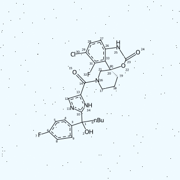 CCCCC(O)(c1ccc(F)cc1)c1ncc(C(=O)N2CCC[C@@]3(C2)OC(=O)Nc2ccc(Cl)c(F)c23)[nH]1